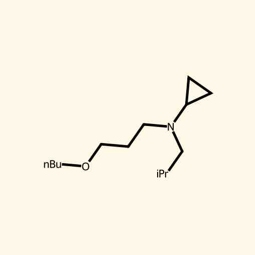 CCCCOCCCN(CC(C)C)C1CC1